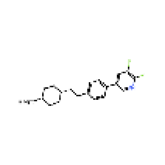 CCCCCCC[C@H]1CC[C@H](CCc2ccc(-c3cnc(F)c(F)c3)cc2)CC1